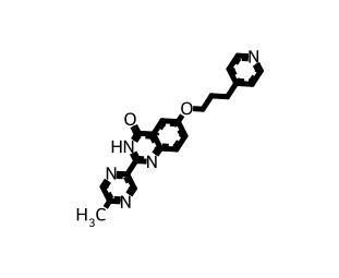 Cc1cnc(-c2nc3ccc(OCCCc4ccncc4)cc3c(=O)[nH]2)cn1